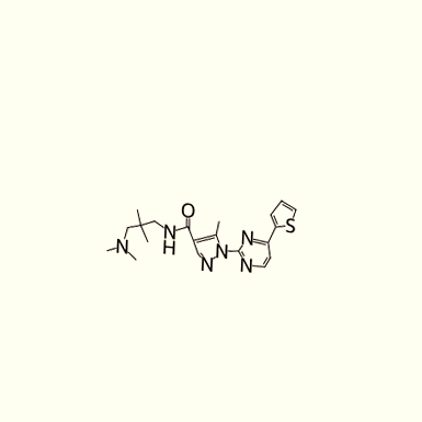 Cc1c(C(=O)NCC(C)(C)CN(C)C)cnn1-c1nccc(-c2cccs2)n1